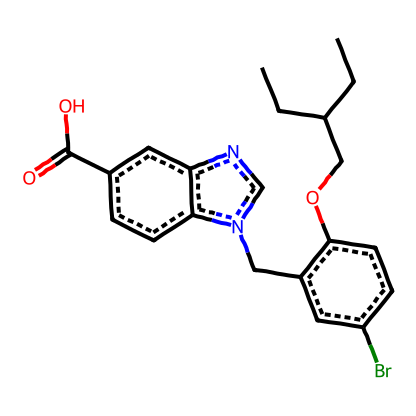 CCC(CC)COc1ccc(Br)cc1Cn1cnc2cc(C(=O)O)ccc21